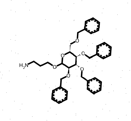 NCCCOC1O[C@H](COCc2ccccc2)[C@H](OCc2ccccc2)[C@H](OCc2ccccc2)[C@H]1OCc1ccccc1